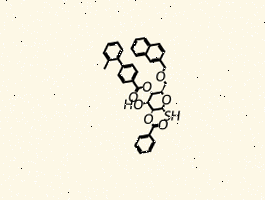 Cc1ccccc1-c1ccc(C(=O)O[C@@H]2[C@H](O)[C@@H](OC(=O)c3ccccc3)[C@H](S)O[C@@H]2COCc2ccc3ccccc3c2)cc1